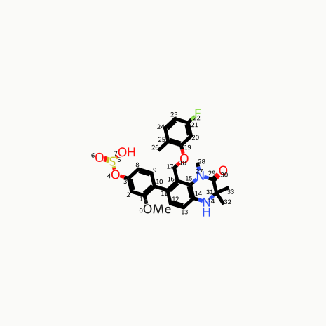 COc1cc(OS(=O)O)ccc1-c1ccc2c(c1COc1cc(F)ccc1C)N(C)C(=O)C(C)(C)N2